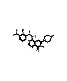 C[C@@H](Nc1ncnc2c(=O)n(C)c(N3CCN(C)CC3)cc12)c1cccc(C(F)F)c1F